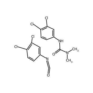 CN(C)C(=O)Nc1ccc(Cl)c(Cl)c1.O=C=Nc1ccc(Cl)c(Cl)c1